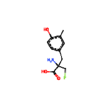 Cc1cc(CC(N)(CF)C(=O)O)ccc1O